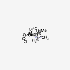 C\C=C/C=C(C)\C(=C\CCCCN(CC)CCC1OCc2ccc(Cl)cc21)CN(C=O)C(CCC=O)C(=O)NC